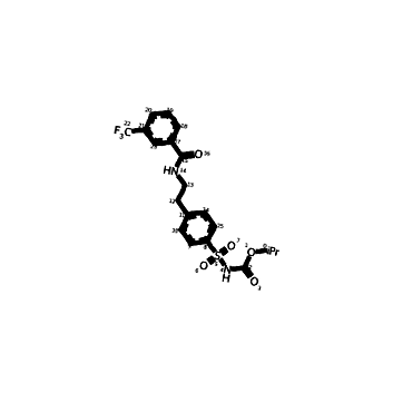 CC(C)OC(=O)NS(=O)(=O)c1ccc(CCNC(=O)c2cccc(C(F)(F)F)c2)cc1